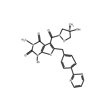 CC(C)n1c(=O)n(C)c(=O)c2c(C(=O)N3C[C@](C)(O)CO3)c(Cc3ccc(-c4ncccn4)cc3)sc21